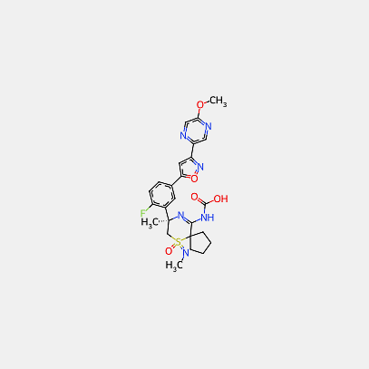 CN=S1(=O)C[C@@](C)(c2cc(-c3cc(-c4cnc(OC)cn4)no3)ccc2F)N=C(NC(=O)O)C12CCCC2